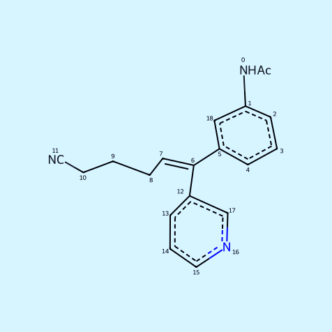 CC(=O)Nc1cccc(C(=CCCCC#N)c2cccnc2)c1